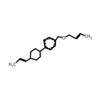 CC=CCOCc1ccc(C2CCC(C=CC)CC2)cc1